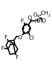 CS(=O)(=O)NC(=O)c1cc(Cl)c(OCC2C3CC4(F)CC(F)(C3)CC2(F)C4)cc1F